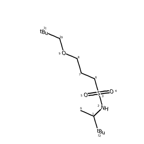 CC(NS(=O)(=O)CCCOCC(C)(C)C)C(C)(C)C